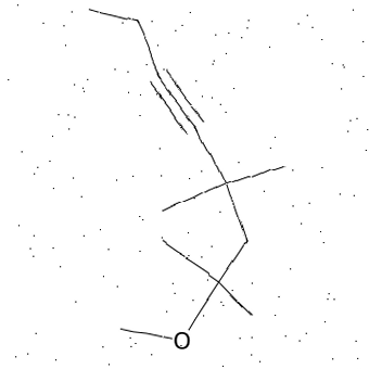 CCC#CC(C)(C)CC(C)(C)OC